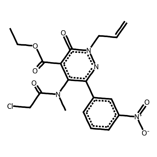 C=CCn1nc(-c2cccc([N+](=O)[O-])c2)c(N(C)C(=O)CCl)c(C(=O)OCC)c1=O